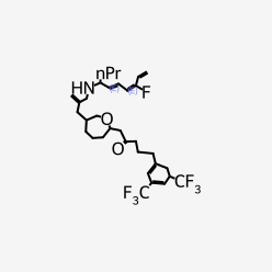 C=C/C(F)=C\C=C\C(CCC)NCC(=C)CC1CCCC(CC(=O)CCCC2=CC(C(F)(F)F)=CC(C(F)(F)F)C2)OC1